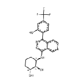 Oc1cc(C(F)(F)F)ccc1-c1nnc(N[C@@H]2CCC[C@@H](O)[C@@H]2O)c2cnccc12